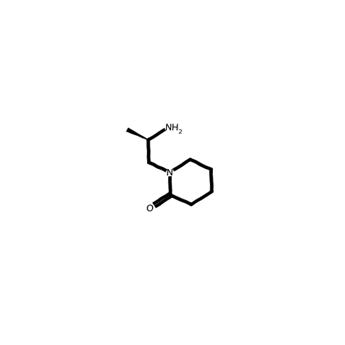 C[C@@H](N)CN1CCCCC1=O